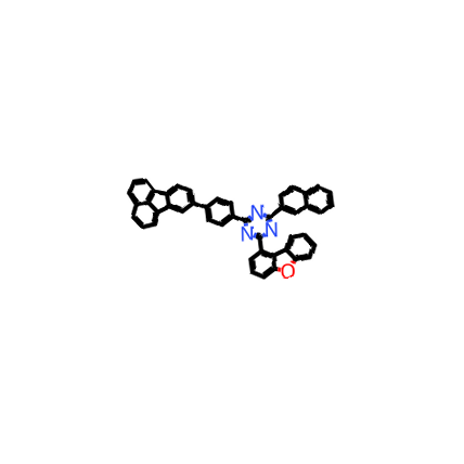 c1ccc2cc(-c3nc(-c4ccc(-c5ccc6c(c5)-c5cccc7cccc-6c57)cc4)nc(-c4cccc5oc6ccccc6c45)n3)ccc2c1